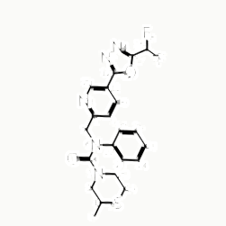 CC1CN(C(=O)N(Cc2ccc(-c3nnc(C(F)F)o3)cn2)c2ccccc2)CCS1